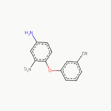 N#Cc1cccc(Oc2ccc(N)cc2[N+](=O)[O-])c1